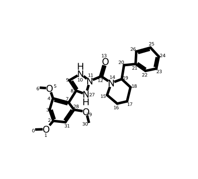 COc1cc(OC)c(C2=CNN(C(=O)N3CCCCC3Cc3ccccc3)N2)c(OC)c1